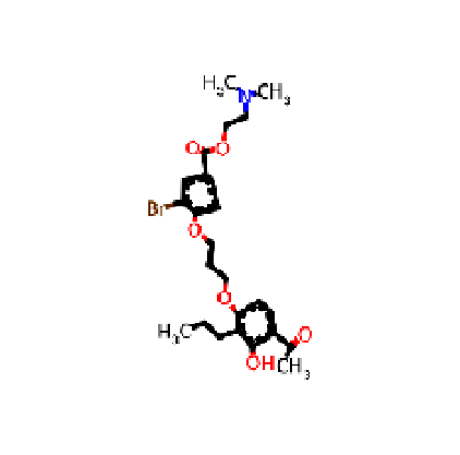 CCCc1c(OCCCOc2ccc(C(=O)OCCN(C)C)cc2Br)ccc(C(C)=O)c1O